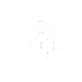 CC1(C)C(=O)c2ccc(Br)cc2C2(c3cccc[n+]3[O-])OC12